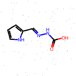 O=C(O)N/N=C/c1ccc[nH]1